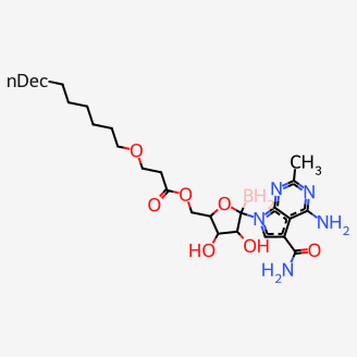 BC1(n2cc(C(N)=O)c3c(N)nc(C)nc32)OC(COC(=O)CCOCCCCCCCCCCCCCCCC)C(O)C1O